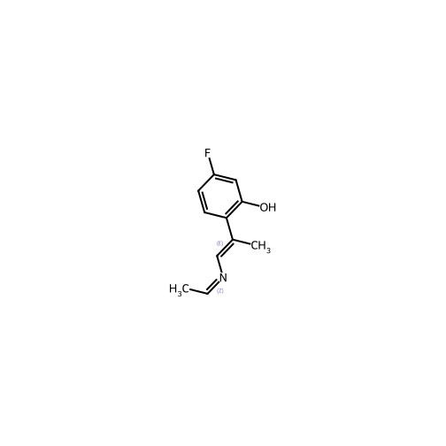 C/C=N\C=C(/C)c1ccc(F)cc1O